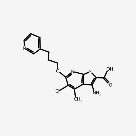 Cc1c(Cl)c(OCCCc2cccnc2)nc2sc(C(=O)O)c(N)c12